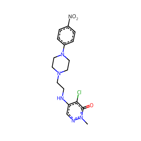 Cn1ncc(NCCN2CCN(c3ccc([N+](=O)[O-])cc3)CC2)c(Cl)c1=O